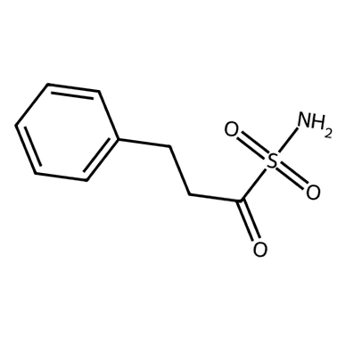 NS(=O)(=O)C(=O)CCc1ccccc1